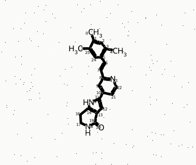 Cc1cc(C)c(C=Cc2cc(-c3cc4c([nH]3)CCNC4=O)ccn2)cc1C